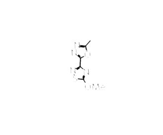 COc1nc(-c2nnc(C)o2)ns1